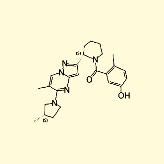 Cc1ccc(O)cc1C(=O)N1CCCC[C@H]1c1cc2nc(N3CC[C@H](C)C3)c(C)cn2n1